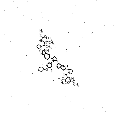 COC(=O)N[C@@H](C(C)C)C(C)N1CCC[C@H]1c1nc2ccc([C@H]3CC[C@H](c4ccc5nc([C@@H]6CCCN6C(=O)[C@@H](NC(=O)OC)C(C)C)[nH]c5c4)N3c3ccc(OC4CCCC4)c(F)c3)cc2[nH]1